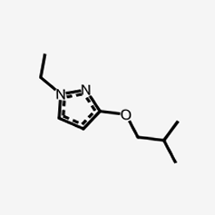 CCn1ccc(OCC(C)C)n1